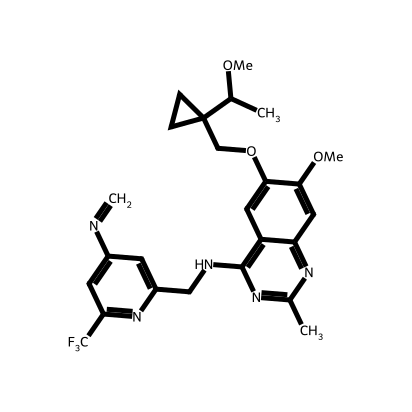 C=Nc1cc(CNc2nc(C)nc3cc(OC)c(OCC4(C(C)OC)CC4)cc23)nc(C(F)(F)F)c1